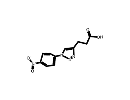 O=C(O)CCc1cn(-c2ccc([N+](=O)[O-])cc2)nn1